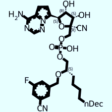 CCCCCCCCCCCCCC[C@@H](COP(=O)(O)OC[C@@]1(C#N)O[C@@H](c2ccc3c(N)ncnn23)[C@H](O)[C@@H]1O)OCc1cc(F)cc(C#N)c1